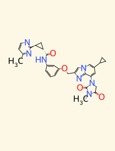 Cc1ccnc([C@H]2C[C@@H]2C(=O)Nc2cccc(OCc3cn4cc(C5CC5)cc(N5CC(=O)N(C)C5=O)c4n3)c2)n1